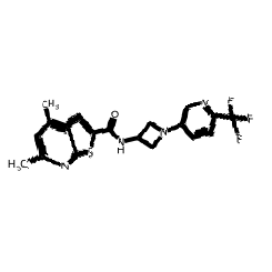 Cc1cc(C)c2cc(C(=O)NC3CN(c4ccc(C(F)(F)F)nc4)C3)sc2n1